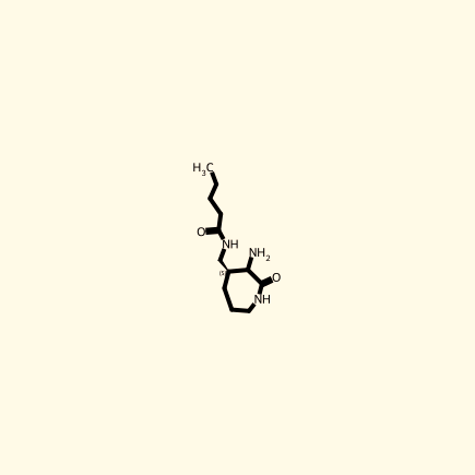 CCCCC(=O)NC[C@@H]1CCCNC(=O)C1N